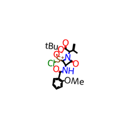 C=C(C)C(C(=O)OC(C)(C)C)N1C(=O)C(NC(=O)c2ccccc2OC)C1[S+]([O-])Cl